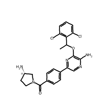 CC(Oc1nc(-c2ccc(C(=O)N3CC[C@H](N)C3)cc2)cnc1N)c1c(Cl)cccc1Cl